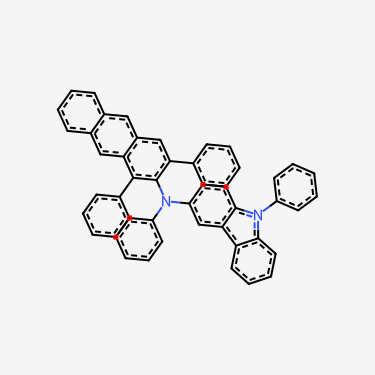 c1ccc(-c2cc3cc4ccccc4cc3c(-c3ccccc3)c2N(c2ccccc2)c2ccc3c(c2)c2ccccc2n3-c2ccccc2)cc1